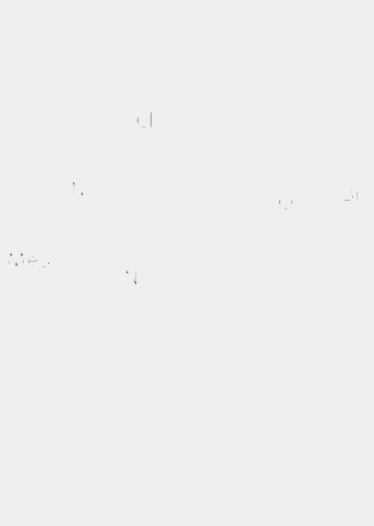 CSc1nc(Cl)c2c(n1)CC1(OC2)c2ccccc2CC1Br